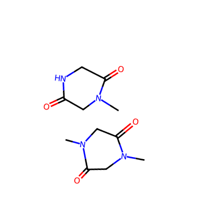 CN1CC(=O)N(C)CC1=O.CN1CC(=O)NCC1=O